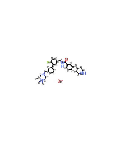 C[C@H]1CN(Cc2cccc(-c3cc(CNC(=O)c4cccc(CC5CCNCC5)c4)ccc3F)c2)CC[N+]1(C)C.[Br-]